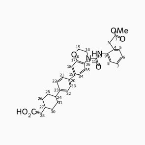 COC(=O)Cc1ccccc1NC(=O)N1CCOc2cc(-c3ccc(C4CCC(CC(=O)O)CC4)cc3)ccc21